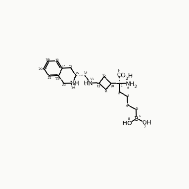 N[C@](CCCCB(O)O)(C(=O)O)C1CC(NC[C@H]2Cc3ccccc3CN2)C1